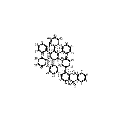 CC1(C)c2ccccc2Oc2c(-c3cccc(-c4c(-c5ccccc5)c(-c5ccccc5)c(-c5ccccc5)c(-c5ccccn5)c4-c4ccccc4)c3)cccc21